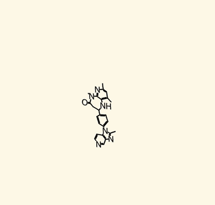 Cc1cc(C)c2c(n1)N(C)C(=O)CC(c1ccc(-n3c(C)nc4cnccc43)cc1)N2